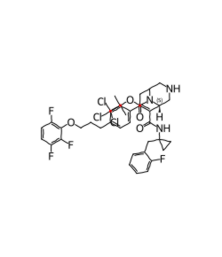 CC(C)(OC(=O)N1C2CNC[C@@H]1C(C(=O)NC1(Cc3ccccc3F)CC1)=C(c1ccc(CCCOc3c(F)ccc(F)c3F)cc1)C2)C(Cl)(Cl)Cl